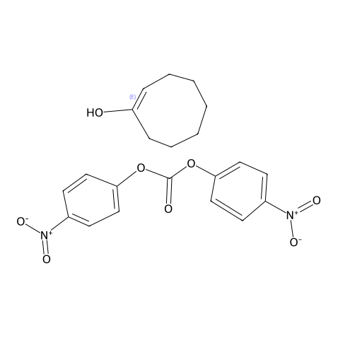 O/C1=C/CCCCCC1.O=C(Oc1ccc([N+](=O)[O-])cc1)Oc1ccc([N+](=O)[O-])cc1